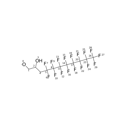 [O]CC(O)CC(F)(F)C(F)(F)C(F)(F)C(F)(F)C(F)(F)C(F)(F)C(F)(F)C(F)(F)F